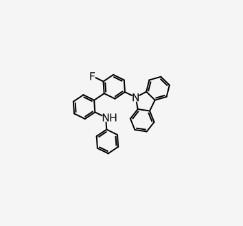 Fc1ccc(-n2c3ccccc3c3ccccc32)cc1-c1ccccc1Nc1ccccc1